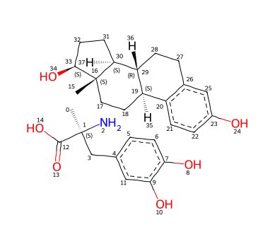 C[C@](N)(Cc1ccc(O)c(O)c1)C(=O)O.C[C@]12CC[C@@H]3c4ccc(O)cc4CC[C@H]3[C@@H]1CC[C@@H]2O